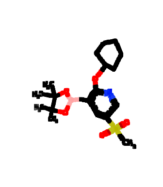 CC1(C)OB(c2cc(S(C)(=O)=O)cnc2OC2CCCCC2)OC1(C)C